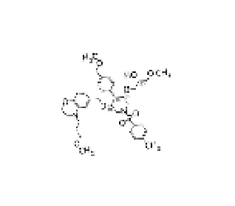 COCCCN1CCOc2ccc(CO[C@H]3CN(S(=O)(=O)c4ccc(C)cc4)C[C@@H](OC[C@H](O)COC)[C@@H]3c3ccc(COC)cc3)cc21